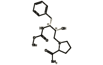 CC(C)(C)OC(=O)N[C@H](Cc1ccccc1)[C@H](O)CN1CCCC1C(N)=O